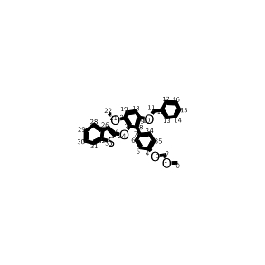 COCOc1ccc(-c2c(OCc3ccccc3)ccc(OC)c2Oc2cc3ccccc3s2)cc1